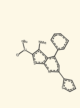 CCCC[S+]([O-])c1sc2nc(-c3cccs3)cc(-c3ccccc3)c2c1NC